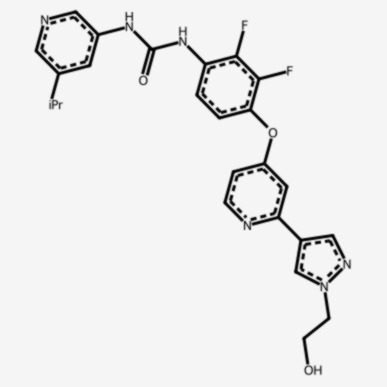 CC(C)c1cncc(NC(=O)Nc2ccc(Oc3ccnc(-c4cnn(CCO)c4)c3)c(F)c2F)c1